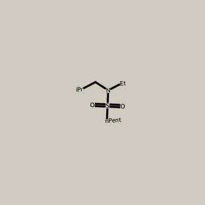 [CH2]CN(CC(C)C)S(=O)(=O)CCCCC